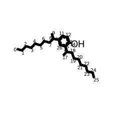 CCCCCCCCC(C)c1ccc(O)c(C(C)CCCCCCCC)c1